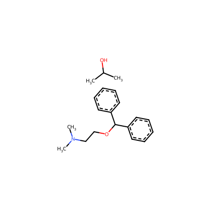 CC(C)O.CN(C)CCOC(c1ccccc1)c1ccccc1